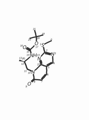 CSc1ncc2ccc(=O)n(C[C@@H](C)NC(=O)OC(C)(C)C)c2n1